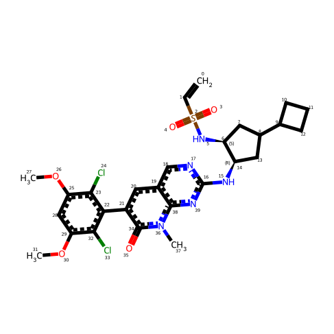 C=CS(=O)(=O)N[C@H]1CC(C2CCC2)C[C@H]1Nc1ncc2cc(-c3c(Cl)c(OC)cc(OC)c3Cl)c(=O)n(C)c2n1